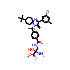 C=C1C(c2cc(C)cc(Cl)c2)=NC2(CCC(C(C)(C)C)CC2)N1[C@H](C)c1ccc(C(=O)NC[C@@](N)(O)C(=O)OC)cc1